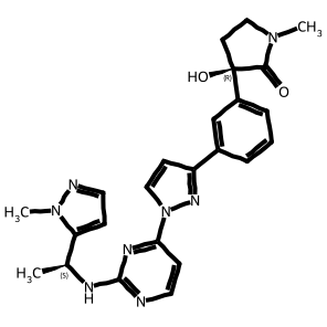 C[C@H](Nc1nccc(-n2ccc(-c3cccc([C@]4(O)CCN(C)C4=O)c3)n2)n1)c1ccnn1C